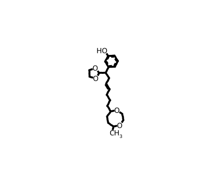 CC1CCC(CCC/C=C/CC(c2cccc(O)c2)C2OCCO2)OCCO1